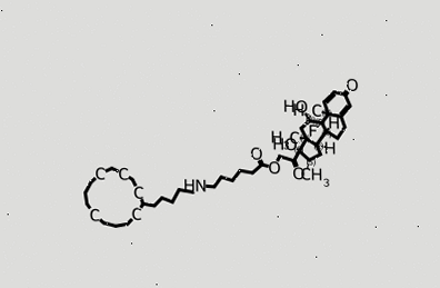 C[C@H]1C[C@@H]2[C@H]3CCC4=CC(=O)C=C[C@@]4(C)[C@]3(F)[C@H](O)C[C@@]2(C)[C@]1(O)C(=O)COC(=O)CCCCCNCCCCCC1CCCCCCCCCCCCC1